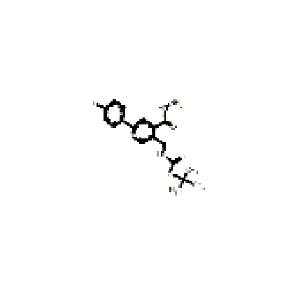 CC(C)(C)OC(=O)NCc1cnc(-c2ccc(F)cc2)cc1C(=O)NN